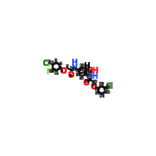 O=C(COc1ccc(Cl)c(F)c1)NC12CCC(NC(=O)COc3cccc(Cl)c3)(CC1)[C@@H](O)C2